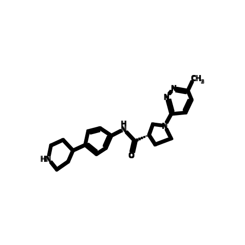 Cc1ccc(N2CC[C@H](C(=O)Nc3ccc(C4CCNCC4)cc3)C2)nn1